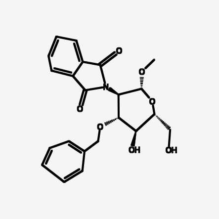 CO[C@@H]1O[C@H](CO)[C@@H](O)[C@H](OCc2ccccc2)[C@H]1N1C(=O)c2ccccc2C1=O